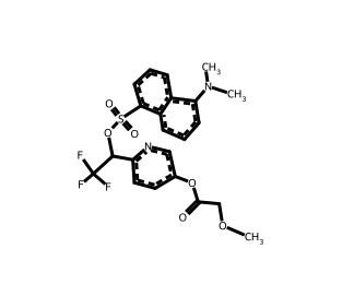 COCC(=O)Oc1ccc(C(OS(=O)(=O)c2cccc3c(N(C)C)cccc23)C(F)(F)F)nc1